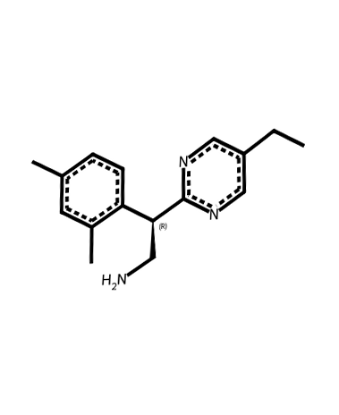 CCc1cnc([C@@H](CN)c2ccc(C)cc2C)nc1